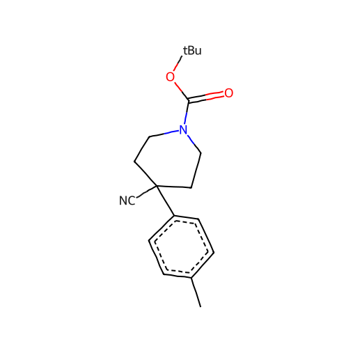 Cc1ccc(C2(C#N)CCN(C(=O)OC(C)(C)C)CC2)cc1